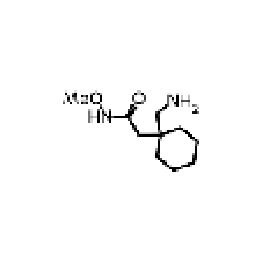 CONC(=O)CC1(CN)CCCCC1